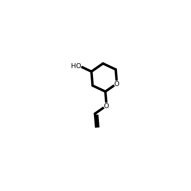 C=COC1CC(O)CCO1